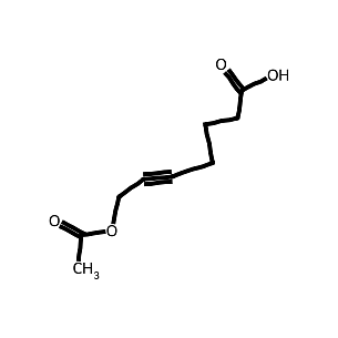 CC(=O)OCC#CCCCC(=O)O